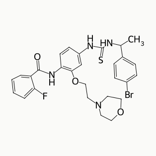 CC(NC(=S)Nc1ccc(NC(=O)c2ccccc2F)c(OCCN2CCOCC2)c1)c1ccc(Br)cc1